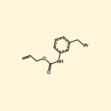 C=CCOC(=O)Nc1c[c]cc(CC(C)C)c1